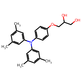 Cc1cc(C)cc(N(c2ccc(OCC(O)CO)cc2)c2cc(C)cc(C)c2)c1